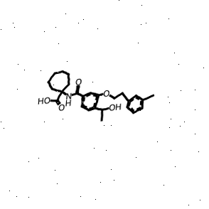 Cc1cccc(CCOc2cc(C(=O)NC3(C(=O)O)CCCCCC3)ccc2C(C)O)c1